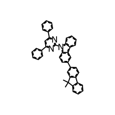 CC1(C)c2ccccc2-c2ccc(-c3ccc4c(c3)c3ccccc3n4-c3nc(-c4ccccc4)cc(-c4ccccc4)n3)cc21